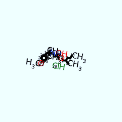 CCCCC(CC)COCC(O)CNC(C)(C)Cc1ccc(OC)cc1.Cl